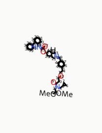 COC(CN(CC1CC1)C(=O)CCOCCc1ccc(CN2CC3CC(OC(=O)Nc4ccccc4-c4ccccc4)C[C@@H]3C2)cc1)OC